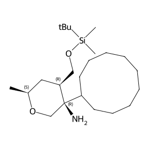 C[C@H]1C[C@@H](CO[Si](C)(C)C(C)(C)C)[C@](N)(C2CCCCCCCCC2)CO1